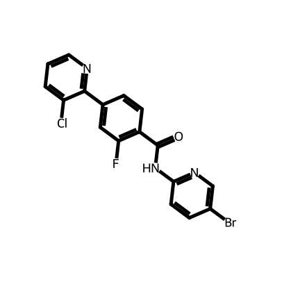 O=C(Nc1ccc(Br)cn1)c1ccc(-c2ncccc2Cl)cc1F